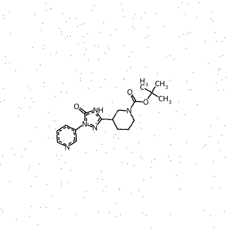 CC(C)(C)OC(=O)N1CCCC(c2nn(-c3cccnc3)c(=O)[nH]2)C1